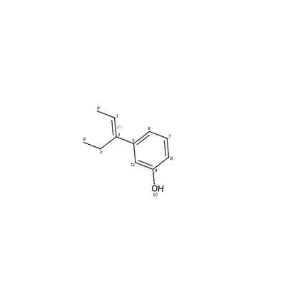 C/C=C(\CC)c1cccc(O)c1